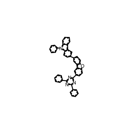 c1ccc(-c2nc(-c3ccccc3)nc(-c3ccc4oc5ccc(-c6ccc7c(c6)c6ccccc6n7-c6ccccc6)cc5c4c3)n2)cc1